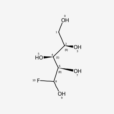 OC[C@@H](O)[C@H](O)[C@@H](O)C(O)F